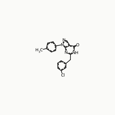 Cc1ccc(-n2ncc3c(=O)[nH]c(Cc4cccc(Cl)c4)nc32)cc1